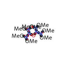 COc1ccc(N(c2ccc(OC)cc2)c2ccc(N(c3ccc(Oc4ccc(N(c5ccc(N(c6ccc(OC)cc6)c6ccc(OC)cc6)cc5)c5ccc(N(c6ccc(OC)cc6)c6ccc(OC)cc6)cc5)cc4)cc3)c3ccc(N(c4ccc(OC)cc4)c4ccc(OC)cc4)cc3)cc2)cc1